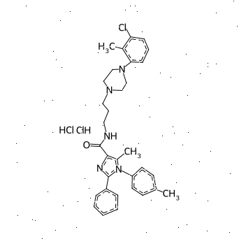 Cc1ccc(-n2c(-c3ccccc3)nc(C(=O)NCCCN3CCN(c4cccc(Cl)c4C)CC3)c2C)cc1.Cl.Cl